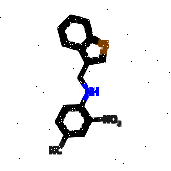 N#Cc1ccc(NCc2csc3ccccc23)c([N+](=O)[O-])c1